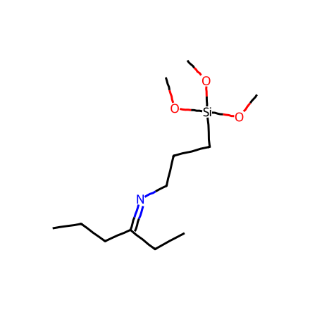 CCCC(CC)=NCCC[Si](OC)(OC)OC